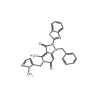 Cc1c2c(=O)n(-c3nc4ccccc4s3)n(Cc3ccccc3)c2cc(=O)n1Cc1ccnn1C